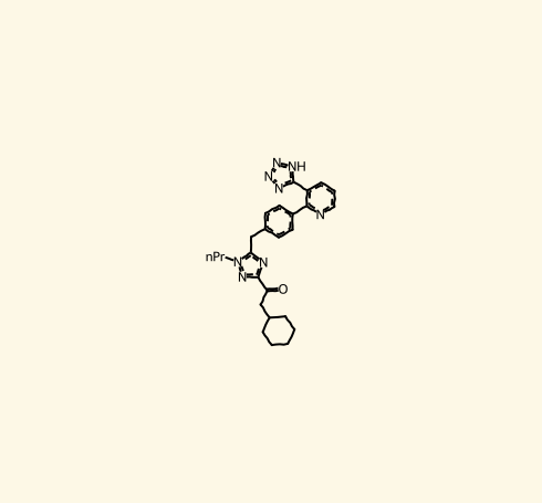 CCCn1nc(C(=O)CC2CCCCC2)nc1Cc1ccc(-c2ncccc2-c2nnn[nH]2)cc1